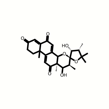 C[C@H]1[C@@H](O)[C@]2(OC3C4=CC(=O)C5=CC(=O)CCC5(C)C4=CC(=O)[C@]3(C)C(O)[C@@H]2C)OC1(C)C